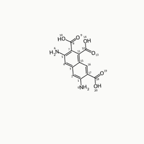 Nc1cc2cc(N)c(C(=O)O)c(C(=O)O)c2cc1C(=O)O